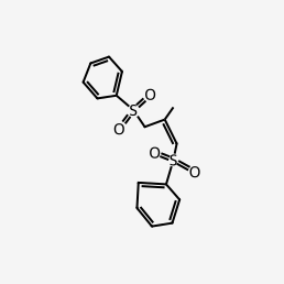 CC(=CS(=O)(=O)c1ccccc1)CS(=O)(=O)c1ccccc1